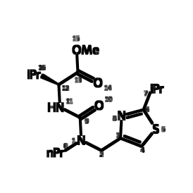 CCCN(Cc1csc(C(C)C)n1)C(=O)N[C@H](C(=O)OC)C(C)C